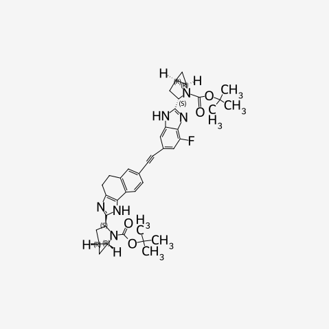 CC(C)(C)OC(=O)N1[C@@H]2C[C@@H]2C[C@H]1c1nc2c([nH]1)-c1ccc(C#Cc3cc(F)c4nc([C@@H]5C[C@H]6C[C@H]6N5C(=O)OC(C)(C)C)[nH]c4c3)cc1CC2